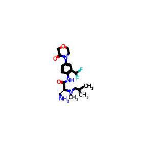 CC(C)CN(C)[C@H](CN)C(=O)Nc1ccc(N2CCOCC2=O)cc1C(F)F